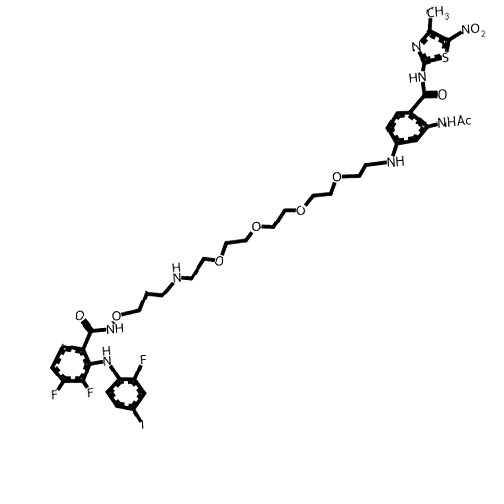 CC(=O)Nc1cc(NCCOCCOCCOCCOCCNCCCONC(=O)c2ccc(F)c(F)c2Nc2ccc(I)cc2F)ccc1C(=O)Nc1nc(C)c([N+](=O)[O-])s1